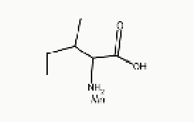 CCC(C)C(N)C(=O)O.[Mn]